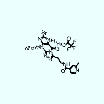 CCCCCn1c2nc(Br)[nH]c2c(=O)n2c(CCNC(=O)c3ccnc(C)c3)nnc12.O=C(O)C(F)(F)F